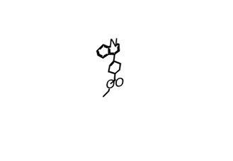 CCOC(=O)C1CC=C(c2ccnc3ccccc23)CC1